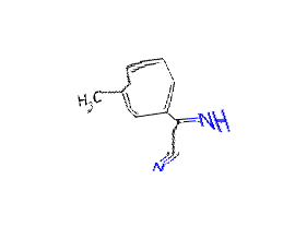 Cc1cccc(C(=N)C#N)c1